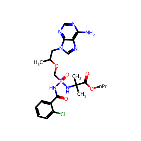 CCCOC(=O)C(C)(C)NP(=O)(COC(C)Cn1cnc2c(N)ncnc21)NC(=O)c1ccccc1Cl